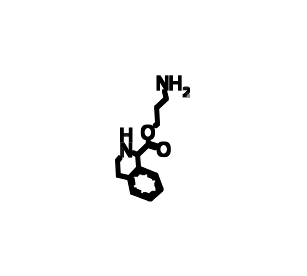 NCCCOC(=O)C1NCCc2ccccc21